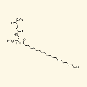 CCC=CCC=CCC=CCC=CCC=CCC=CCCC(=O)NC(CNC(=O)C=CC(=O)OC)C(=O)O